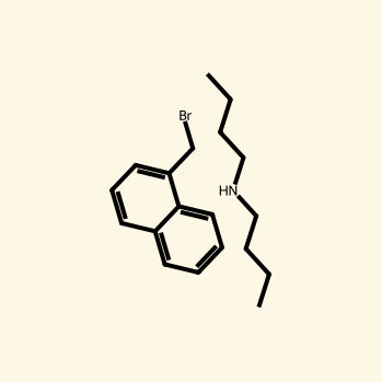 BrCc1cccc2ccccc12.CCCCNCCCC